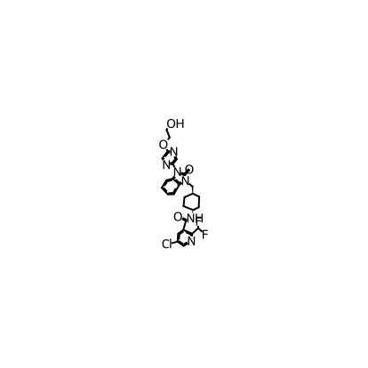 O=C(N[C@H]1CC[C@H](Cn2c(=O)n(-c3cnc(OCCO)cn3)c3ccccc32)CC1)c1cc(Cl)cnc1C(F)F